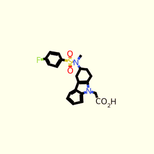 CN(C1CCc2c(c3ccccc3n2CC(=O)O)C1)S(=O)(=O)c1ccc(F)cc1